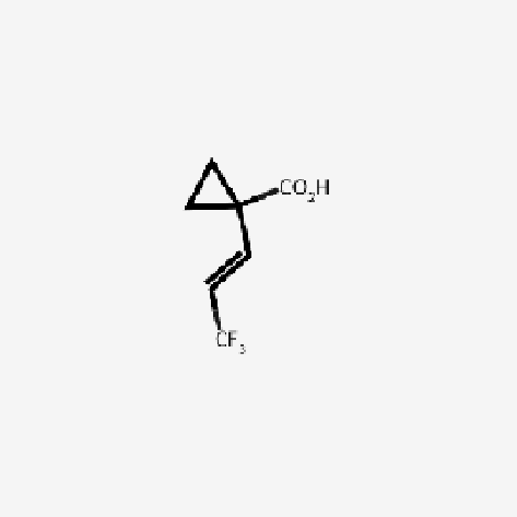 O=C(O)C1(C=CC(F)(F)F)CC1